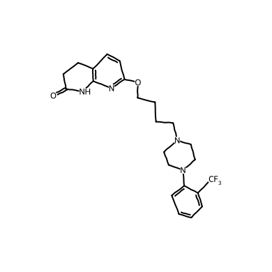 O=C1CCc2ccc(OCCCCN3CCN(c4ccccc4C(F)(F)F)CC3)nc2N1